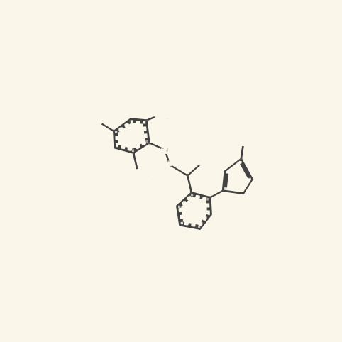 CC1=CCC(c2ccccc2[CH](C)[Ti][NH]c2c(C)cc(C)cc2C)=C1